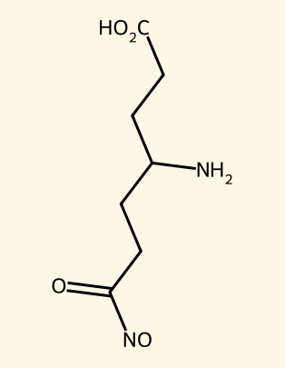 NC(CCC(=O)O)CCC(=O)N=O